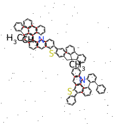 CC1(C)c2ccccc2-c2cccc(-c3ccccc3N(c3ccc4c(c3)sc3cc(CC5(C)c6ccccc6-c6cccc(-c7cccc(N(c8ccc9c(c8)sc8ccccc89)c8cccc(-c9ccccc9)c8-c8ccccc8-c8ccccc8)c7)c65)ccc34)c3cccc(-c4ccccc4)c3-c3ccccc3-c3ccccc3)c21